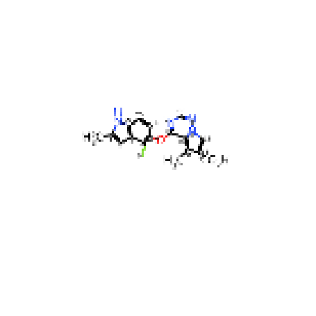 Cc1cc2c(F)c(Oc3ncnn4cc(C(=O)O)c(C)c34)ccc2[nH]1